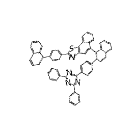 c1ccc(-c2nc(-c3ccccc3)nc(-c3ccc(-c4ccc5ccccc5c4-c4cc5nc(-c6ccc(-c7cccc8ccccc78)cc6)sc5c5ccccc45)cc3)n2)cc1